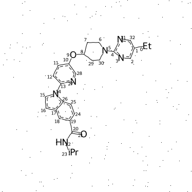 CCc1cnc(N2CCC(Oc3ccc(-n4ccc5cc(C(=O)NC(C)C)ccc54)nc3)CC2)nc1